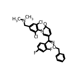 CN(C)Cc1cc(Cl)c(-n2cc(/C(=N/OCc3ccccc3)c3ccc(F)cc3F)ccc2=O)c(Cl)c1